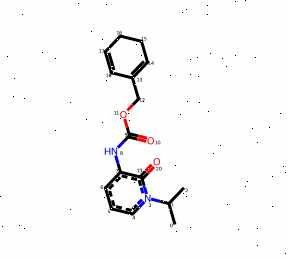 CC(C)n1cccc(NC(=O)OCC2=CCCC=C2)c1=O